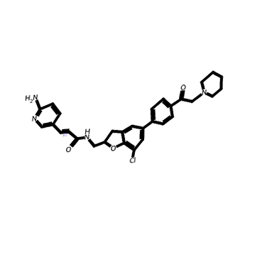 Nc1ccc(/C=C/C(=O)NCC2Cc3cc(-c4ccc(C(=O)CN5CCCCC5)cc4)cc(Cl)c3O2)cn1